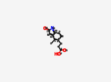 Cc1c(CCC(=O)O)ccc2c1=CC(=O)N=2